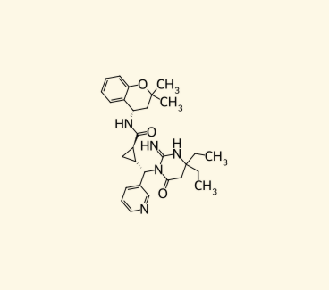 CCC1(CC)CC(=O)N([C@H](c2cccnc2)C2C[C@H]2C(=O)N[C@H]2CC(C)(C)Oc3ccccc32)C(=N)N1